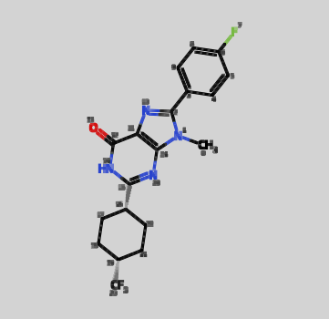 Cn1c(-c2ccc(F)cc2)nc2c(=O)[nH]c([C@H]3CC[C@@H](C(F)(F)F)CC3)nc21